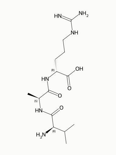 CC(C)[C@@H](N)C(=O)N[C@@H](C)C(=O)N[C@H](CCCNC(=N)N)C(=O)O